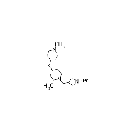 CC(C)N1CC(CN2CCN(CC3CCN(C)CC3)CC2C)C1